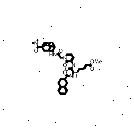 COC(=O)/C=C/CC[C@H](NC(=O)C1CCc2ccccc2C1)C(=O)Nc1cccn(CC(=O)NC2C3CC4CC2CC(C(=O)N(C)C)(C4)C3)c1=O